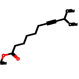 CCCCOC(=O)CCCCCC#CC(OCC(C)C)OCC(C)C